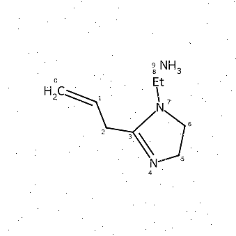 C=CCC1=NCCN1CC.N